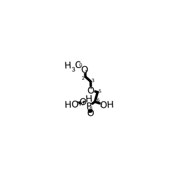 COCCOCC(O)[PH](=O)OO